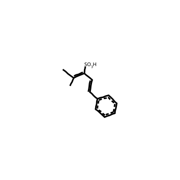 CC(C)=C(C=Cc1ccccc1)S(=O)(=O)O